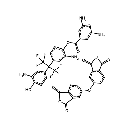 Nc1cc(N)cc(C(=O)Oc2ccc(C(c3ccc(O)c(N)c3)(C(F)(F)F)C(F)(F)F)cc2N)c1.O=C1OC(=O)c2cc(Oc3ccc4c(c3)C(=O)OC4=O)ccc21